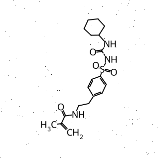 C=C(C)C(=O)NCCc1ccc(S(=O)(=O)NC(=O)NC2CCCCC2)cc1